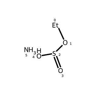 CCOS(=O)O.N